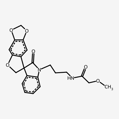 COCC(=O)NCCCN1C(=O)C2(COc3cc4c(cc32)OCO4)c2ccccc21